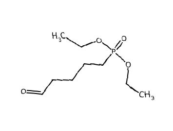 CCOP(=O)(CCCCC=O)OCC